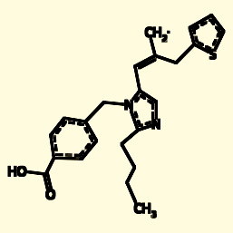 [CH2]/C(=C/c1cnc(CCCC)n1Cc1ccc(C(=O)O)cc1)Cc1cccs1